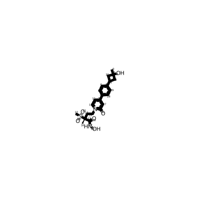 CC1(O)CC(c2ccc(-c3ccn(CC[C@](C)(C(=O)NO)S(C)(=O)=O)c(=O)c3)cc2)C1